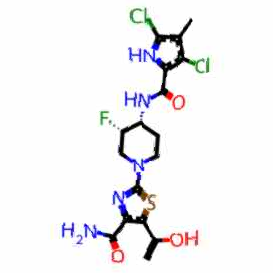 C=C(O)c1sc(N2CC[C@@H](NC(=O)c3[nH]c(Cl)c(C)c3Cl)[C@@H](F)C2)nc1C(N)=O